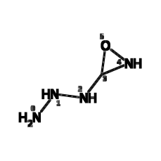 NNNC1NO1